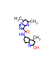 Cc1cc(C)n2cnc(C(=O)Nc3ccc4nc(O)cc(C)c4c3)c2n1